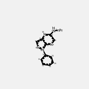 CCCNc1cnc2c(cnn2-c2ccccc2)n1